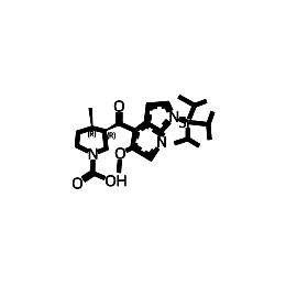 COc1cnc2c(ccn2[Si](C(C)C)(C(C)C)C(C)C)c1C(=O)[C@H]1CN(C(=O)O)CC[C@H]1C